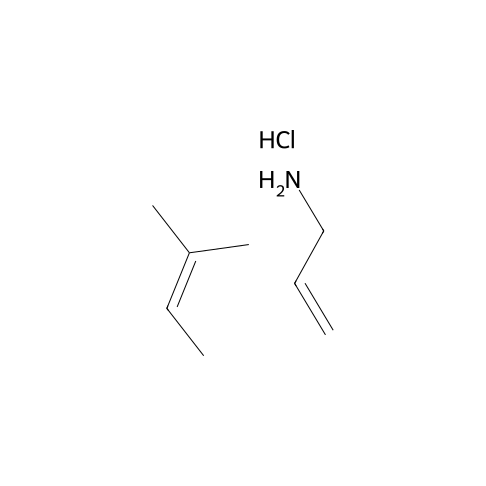 C=CCN.CC=C(C)C.Cl